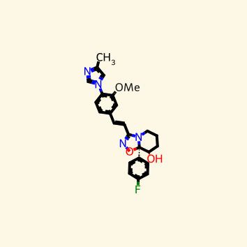 COc1cc(/C=C/C2=NO[C@]3(c4ccc(F)cc4)[C@@H](O)CCCN23)ccc1-n1cnc(C)c1